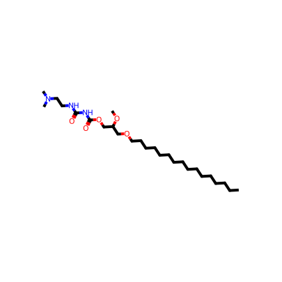 CCCCCCCCCCCCCCCCOCC(COC(=O)NC(=O)NCCN(C)C)OC